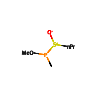 CCC[S+]([O-])P(C)OC